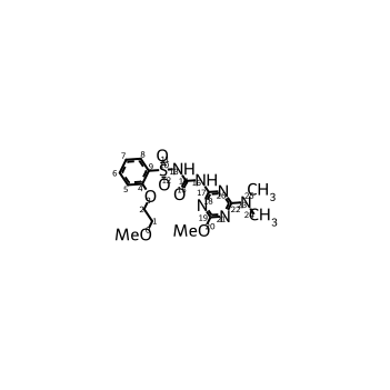 COCCOc1ccccc1S(=O)(=O)NC(=O)Nc1nc(OC)nc(N(C)C)n1